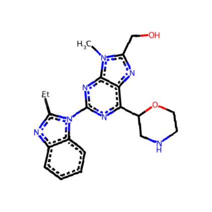 CCc1nc2ccccc2n1-c1nc(C2CNCCO2)c2nc(CO)n(C)c2n1